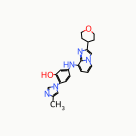 Cc1cn(-c2ccc(Nc3cccn4cc(C5CCOCC5)nc34)cc2O)cn1